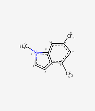 Cn1ccc2c(C(F)(F)F)cc(C(F)(F)F)cc21